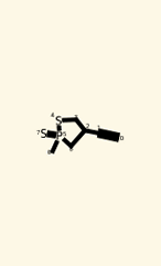 C#CC1CSP(C)(=S)C1